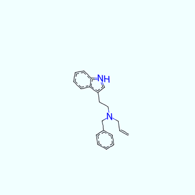 C=CCN(CCc1c[nH]c2ccccc12)Cc1ccccc1